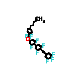 CCCCCc1ccc(C(F)(F)Oc2cc(F)c(-c3cc(F)c(C#CC4=CC(F)C(F)C(F)=C4)c(F)c3)c(F)c2)cc1